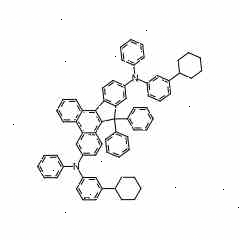 c1ccc(N(c2cccc(C3CCCCC3)c2)c2ccc3c(c2)C(c2ccccc2)(c2ccccc2)c2c-3c3ccccc3c3cc(N(c4ccccc4)c4cccc(C5CCCCC5)c4)ccc23)cc1